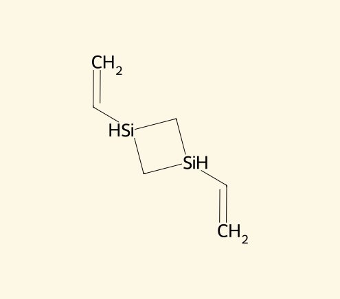 C=C[SiH]1C[SiH](C=C)C1